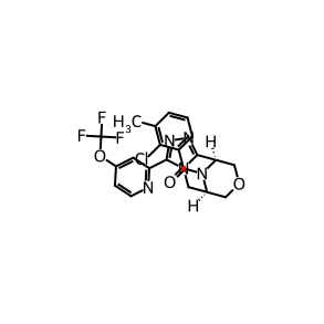 Cc1cccc(C(=O)N2[C@H]3COC[C@@H]2c2nnc(-c4cc(OC(F)(F)F)ccn4)n2C3)c1Cl